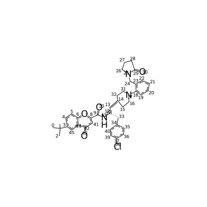 CC(C)c1ccc2oc(C(=O)N[C@H](C=C3CCN(c4ccccc4CN4CCCC4=O)CC3)Cc3ccc(Cl)cc3)cc(=O)c2c1